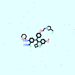 COc1ccc(/C(=C(\c2ccc(OCCN3CCC(CF)C3)cc2)c2ccc(NC3CCCCO3)c(C(=N)F)c2)C2CCC2)c(Cl)c1